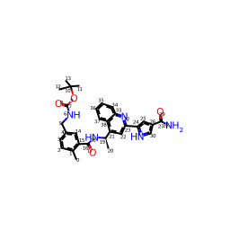 Cc1ccc(CNC(=O)OC(C)(C)C)cc1C(=O)N[C@H](C)c1cc(-c2cc(C(N)=O)c[nH]2)nc2ccccc12